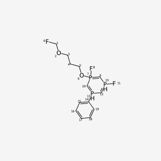 FCOCCCOP1(F)=C[PH](F)=C[PH](c2ccccc2)=C1